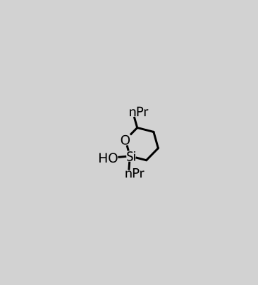 CCCC1CCC[Si](O)(CCC)O1